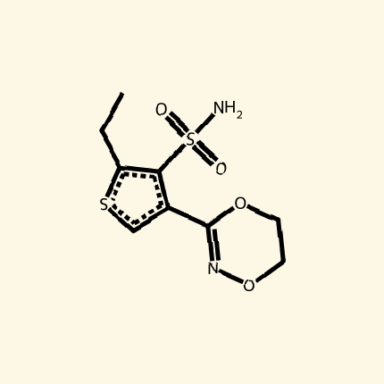 CCc1scc(C2=NOCCO2)c1S(N)(=O)=O